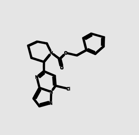 O=C(OCc1ccccc1)N1CCCCC1c1cc(Cl)n2nccc2n1